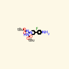 CC(C)(C)OC(=O)/N=C(\NC(=O)OC(C)(C)C)N1CC=C(c2ccc(N)cc2F)CC1